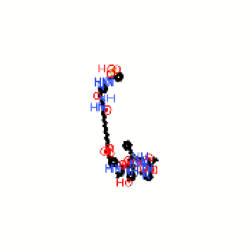 CC(=O)N1CCC[C@H]1C(=O)N[C@@H](CC(C)C)C(=O)NCC(=O)N[C@@H](CCc1ccccc1)C(=O)N[C@@H](Cc1ccc(O)cc1)C(=O)N[C@@H](CC(C)C)C(=O)Nc1ccc(COC(=O)OCCCCCCCCCCCC(=O)NCCNC(=O)c2ccc(N/N=C/c3ccccc3S(=O)(=O)O)nc2)cc1